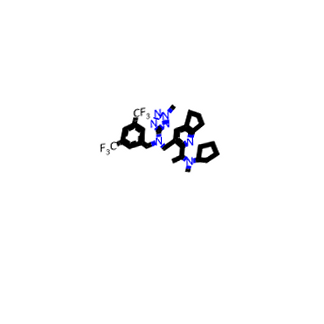 CC(c1nc2c(cc1CN(Cc1cc(C(F)(F)F)cc(C(F)(F)F)c1)c1nnn(C)n1)CCC2)N(C)C1CCCC1